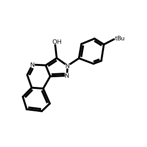 CC(C)(C)c1ccc(-n2nc3c(ncc4ccccc43)c2O)cc1